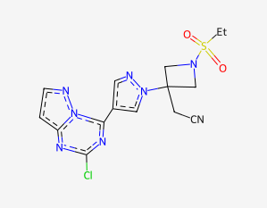 CCS(=O)(=O)N1CC(CC#N)(n2cc(-c3nc(Cl)nc4ccnn34)cn2)C1